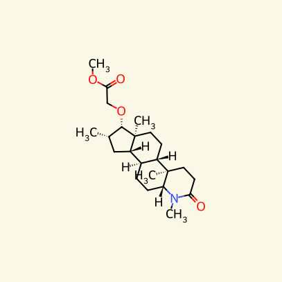 COC(=O)CO[C@H]1[C@@H](C)C[C@H]2[C@@H]3CC[C@H]4N(C)C(=O)CC[C@]4(C)[C@H]3CC[C@@]21C